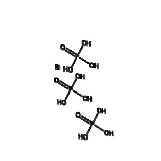 O=P(O)(O)O.O=P(O)(O)O.O=P(O)(O)O.[B]